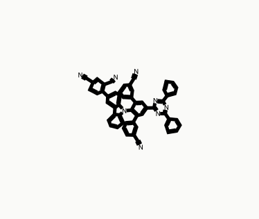 N#Cc1cccc(-c2cc(-c3nc(-c4ccccc4)nc(-c4ccccc4)n3)cc(-c3cccc(C#N)c3)c2-n2c3ccccc3c3cc(-c4ccc(C#N)cc4C#N)ccc32)c1